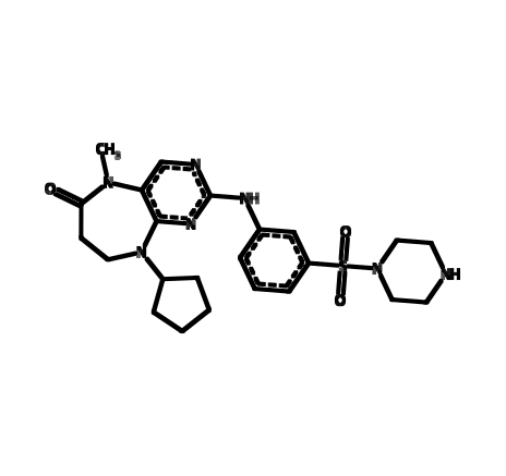 CN1C(=O)CCN(C2CCCC2)c2nc(Nc3cccc(S(=O)(=O)N4CCNCC4)c3)ncc21